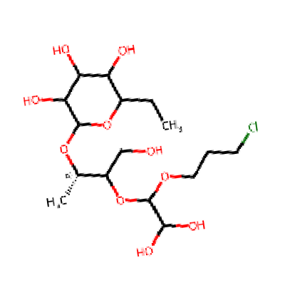 CCC1OC(O[C@@H](C)C(CO)OC(OCCCCl)C(O)O)C(O)C(O)C1O